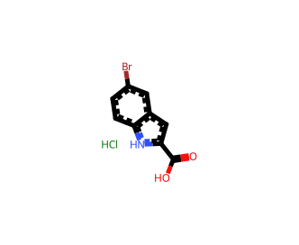 Cl.O=C(O)c1cc2cc(Br)ccc2[nH]1